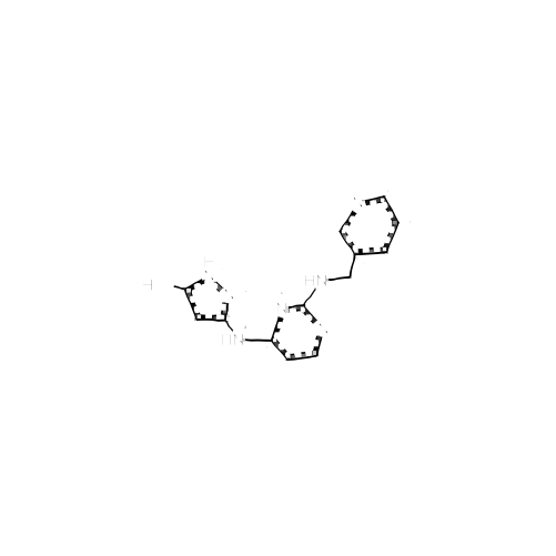 Cc1cc(Nc2ccnc(NCc3cccnc3)n2)n[nH]1